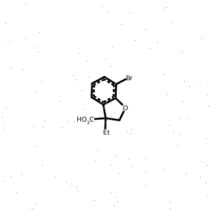 CCC1(C(=O)O)COc2c(Br)cccc21